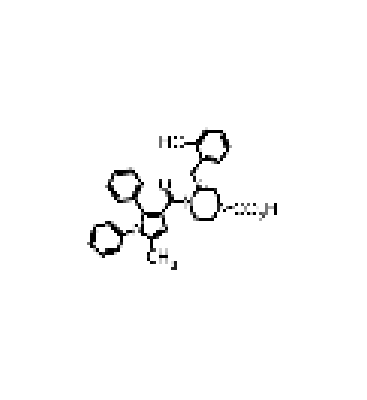 Cc1cc(C(=O)N2CCN(C(=O)O)C[C@@H]2Cc2ccccc2O)c(-c2ccccc2)n1-c1ccccc1